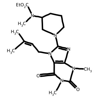 CCOC(=O)N(C)C1CCCN(c2nc3c(c(=O)n(C)c(=O)n3C)n2CC=C(C)C)C1